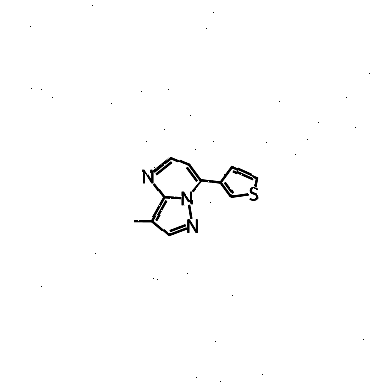 Cc1cnn2c(-c3ccsc3)ccnc12